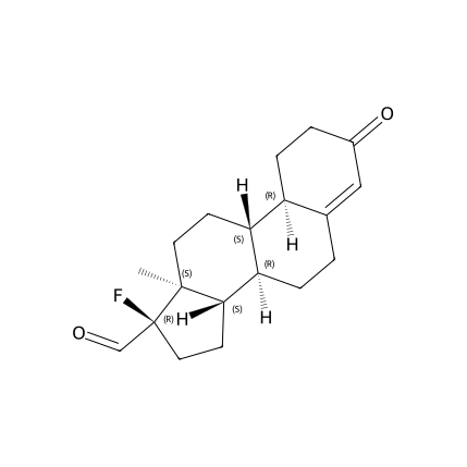 C[C@]12CC[C@H]3[C@@H](CCC4=CC(=O)CC[C@@H]43)[C@@H]1CC[C@]2(F)C=O